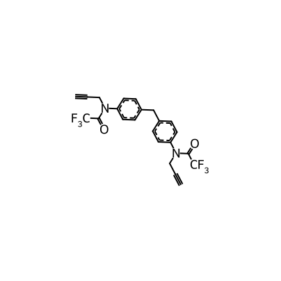 C#CCN(C(=O)C(F)(F)F)c1ccc(Cc2ccc(N(CC#C)C(=O)C(F)(F)F)cc2)cc1